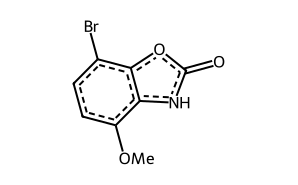 COc1ccc(Br)c2oc(=O)[nH]c12